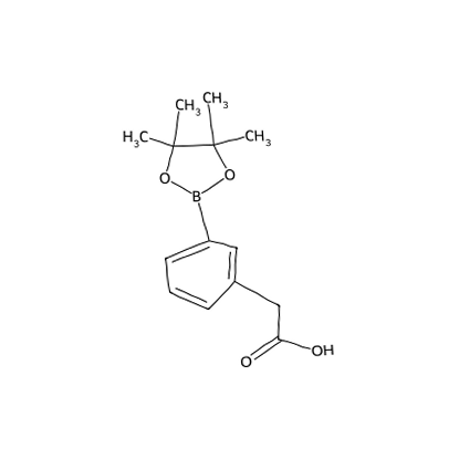 CC1(C)OB(c2cccc(CC(=O)O)c2)OC1(C)C